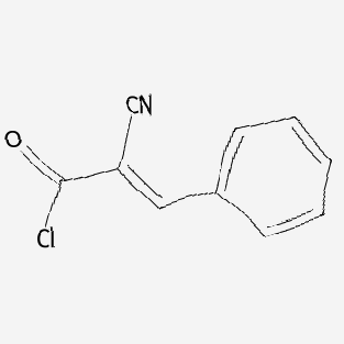 N#C/C(=C\c1ccccc1)C(=O)Cl